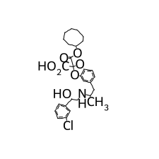 C[C@H](Cc1ccc2c(c1)OC(C(=O)O)(C(=O)OC1CCCCCCC1)O2)NC[C@H](O)c1cccc(Cl)c1